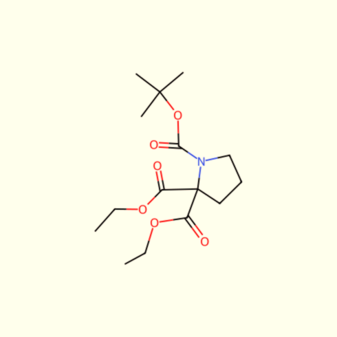 CCOC(=O)C1(C(=O)OCC)CCCN1C(=O)OC(C)(C)C